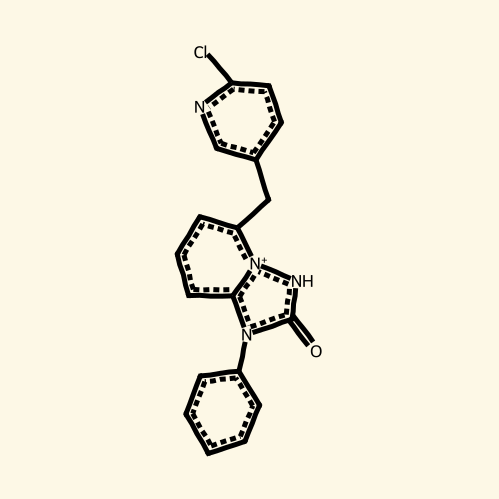 O=c1[nH][n+]2c(Cc3ccc(Cl)nc3)cccc2n1-c1ccccc1